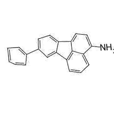 Nc1ccc2c3c(cccc13)-c1cc(-c3ccccc3)ccc1-2